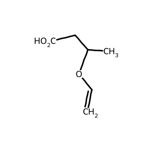 C=COC(C)CC(=O)O